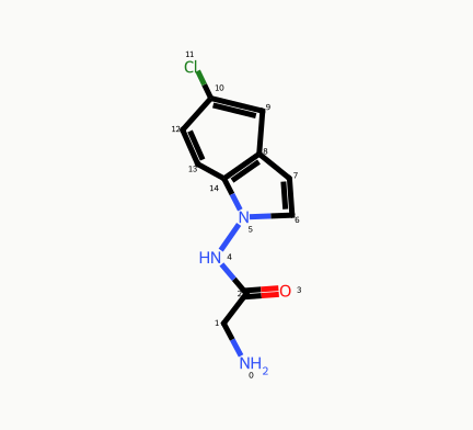 NCC(=O)Nn1ccc2cc(Cl)ccc21